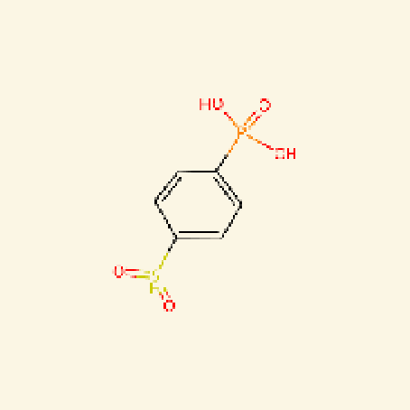 O=[SH](=O)c1ccc(P(=O)(O)O)cc1